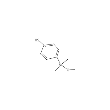 CO[Si](C)(C)c1ccc(S)cc1